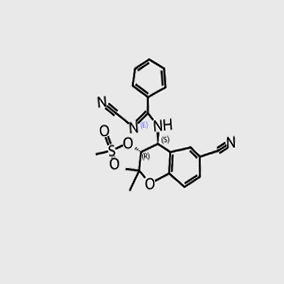 CC1(C)Oc2ccc(C#N)cc2[C@H](N/C(=N/C#N)c2ccccc2)[C@H]1OS(C)(=O)=O